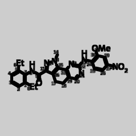 CCc1cccc(CC)c1NC(=O)c1nn(C)c2c1CCc1cnc(Nc3ccc([N+](=O)[O-])cc3OC)nc1-2